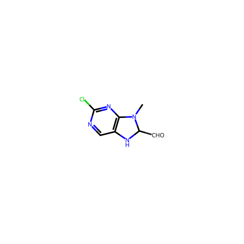 CN1c2nc(Cl)ncc2NC1C=O